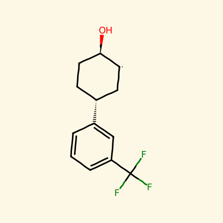 O[C@H]1[CH]C[C@H](c2cccc(C(F)(F)F)c2)CC1